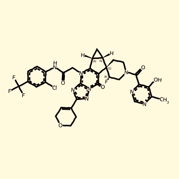 Cc1ncnc(C(=O)N2CC[C@]3(c4c(n(CC(=O)Nc5ccc(C(F)(F)F)cc5Cl)c5nc(C6=CCOCC6)nn5c4=O)[C@@H]4C[C@@H]43)[C@@H](F)C2)c1O